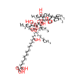 CCCCCCC(CCCC(O)CCCCCCCCCCCCCC(O)C(=O)O)OC1OCC(C)C(O)C1OC1OCC(C)C(O)C1OC1OC(COC(=O)CC(C)C)C(C)C(O)C1C